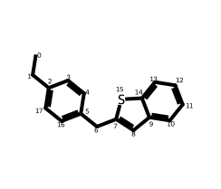 CCc1ccc(Cc2cc3ccccc3s2)cc1